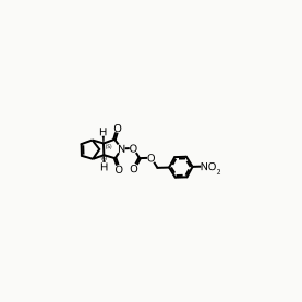 O=C(OCc1ccc([N+](=O)[O-])cc1)ON1C(=O)[C@@H]2C3C=CC(C3)[C@@H]2C1=O